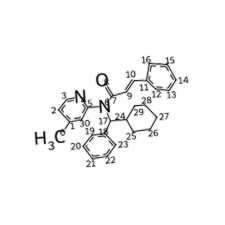 Cc1ccnc(N(C(=O)C=Cc2ccccc2)C(c2ccccc2)C2CCCCC2)c1